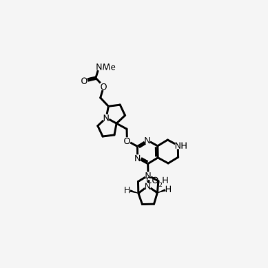 CNC(=O)OCC1CCC2(COc3nc4c(c(N5C[C@H]6CC[C@@H](C5)N6C(=O)O)n3)CCNC4)CCCN12